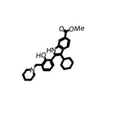 COC(=O)c1ccc2c(C3CCCCC3)c(-c3cccc(CN4CCCCC4)c3O)[nH]c2c1